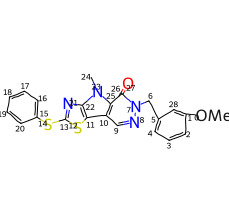 COc1cccc(Cn2ncc3c4sc(Sc5ccccc5)nc4n(C)c3c2=O)c1